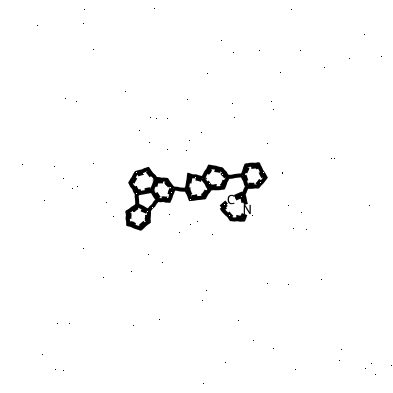 c1ccc(-c2ccccc2-c2ccc3cc(-c4cc5c6c(cccc6c4)-c4ccccc4-5)ccc3c2)nc1